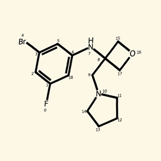 Fc1cc(Br)cc(NC2(CN3CCCC3)COC2)c1